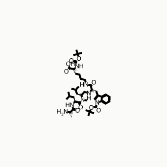 CC(C)C[C@@H](CN[C@@H](Cc1cn(C(=O)OC(C)(C)C)c2ccccc12)C(=O)NCCCC[C@@H](NC(=O)OC(C)(C)C)C(=O)O)N(C)C(=O)[C@H](CC(C)C)NC(=O)[C@H](C)N